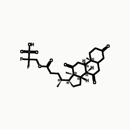 C[C@H](CCC(=O)OCC(F)(F)S(=O)(=O)O)[C@H]1CC[C@H]2[C@@H]3C(=O)CC4CC(=O)CC[C@]4(C)[C@H]3CC(=O)[C@]12C